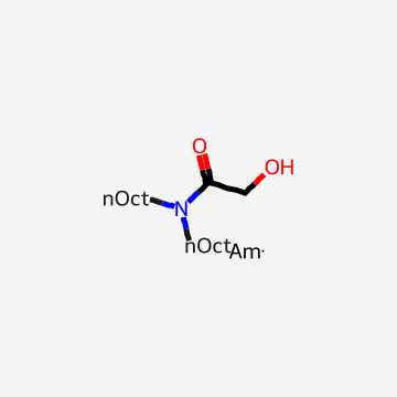 CCCCCCCCN(CCCCCCCC)C(=O)CO.[Am]